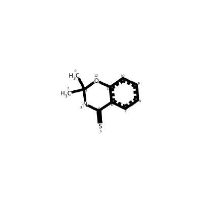 CC1(C)[N]C(=S)c2ccccc2O1